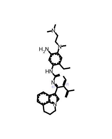 C=C(/N=C(\C(=C/C)C(=C)C)c1cn2c3c(cccc13)CCC2)Nc1cc(N)c(N(C)CCN(C)C)cc1CC